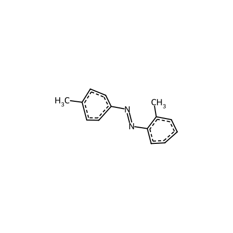 Cc1ccc(N=Nc2ccccc2C)cc1